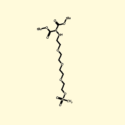 CC(C)(C)OC(=O)N(NCCOCCOCCOCCOS(C)(=O)=O)C(=O)OC(C)(C)C